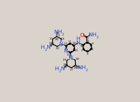 NC(=O)c1ccccc1Nc1cc(N2C[C@H](N)C[C@H](N)C2)nc(N2C[C@H](N)C[C@H](N)C2)c1